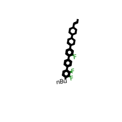 C/C=C/C1CCC(C2CC=C(c3ccc(-c4ccc(-c5ccc(CCCC)c(F)c5F)cc4)c(F)c3)CC2)CC1